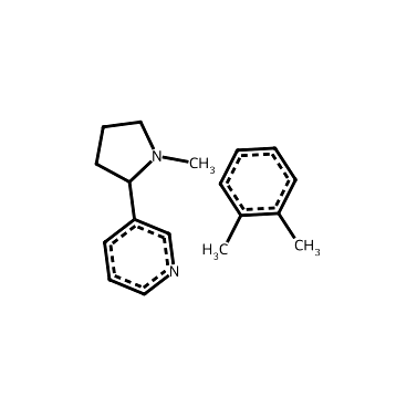 CN1CCCC1c1cccnc1.Cc1ccccc1C